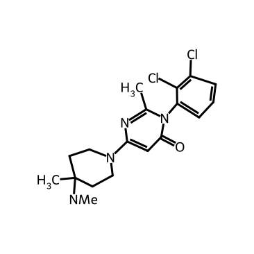 CNC1(C)CCN(c2cc(=O)n(-c3cccc(Cl)c3Cl)c(C)n2)CC1